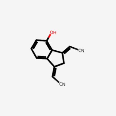 N#CC=C1CC(=CC#N)c2c(O)cccc21